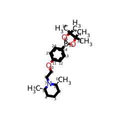 C[C@@H]1CCC[C@H](C)N1CCOc1ccc(B2OC(C)(C)C(C)(C)O2)cc1